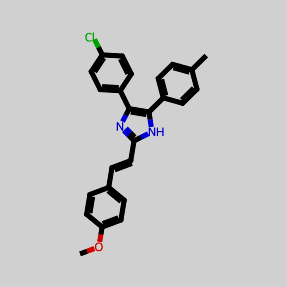 COc1ccc(/C=C/c2nc(-c3ccc(Cl)cc3)c(-c3ccc(C)cc3)[nH]2)cc1